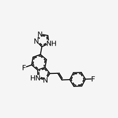 Fc1ccc(C=Cc2n[nH]c3c(F)cc(-c4nnc[nH]4)cc23)cc1